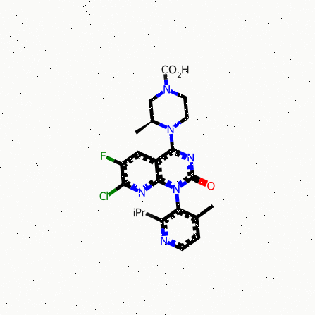 Cc1ccnc(C(C)C)c1-n1c(=O)nc(N2CCN(C(=O)O)C[C@@H]2C)c2cc(F)c(Cl)nc21